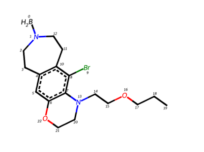 BN1CCc2cc3c(c(Br)c2CC1)N(CCOCCC)CCO3